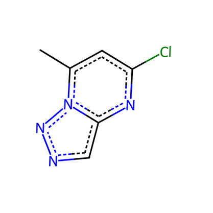 Cc1cc(Cl)nc2cnnn12